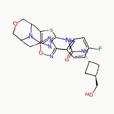 O=C(Nc1nc2c(s1)C1COCC(C2)N1c1nc(-c2ccc(F)cc2)no1)N[C@H]1C[C@H](CO)C1